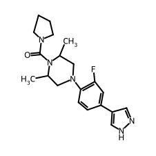 CC1CN(c2ccc(-c3cn[nH]c3)cc2F)CC(C)N1C(=O)N1CCCC1